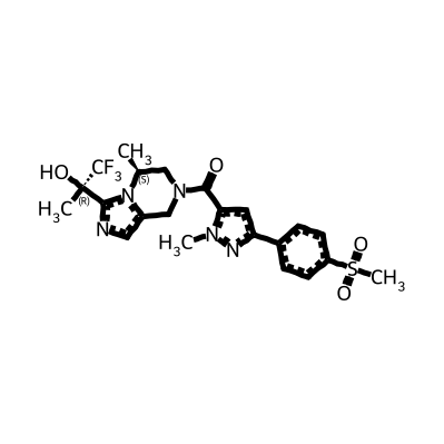 C[C@H]1CN(C(=O)c2cc(-c3ccc(S(C)(=O)=O)cc3)nn2C)Cc2cnc([C@@](C)(O)C(F)(F)F)n21